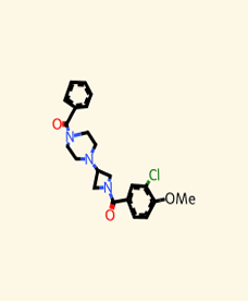 COc1ccc(C(=O)N2CC(N3CCN(C(=O)c4ccccc4)CC3)C2)cc1Cl